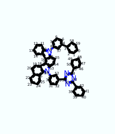 c1ccc(-c2cccc(-n3c4ccccc4c4c5c6ccc7ccccc7c6n(-c6cccc(-c7nc(-c8ccccc8)nc(-c8ccccc8)n7)c6)c5ccc43)c2)cc1